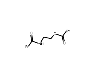 CC(C)C(=O)NCCOC(=O)C(C)C